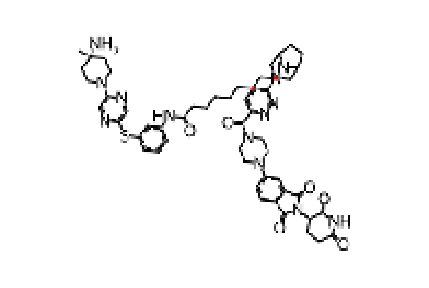 CC1(N)CCN(c2cnc(Sc3cccc(NC(=O)CCCCCCCCN4C5CCC4CN(c4ccc(C(=O)N6CCN(c7ccc8c(c7)C(=O)N(C7CCC(=O)NC7=O)C8=O)CC6)nn4)C5)c3)cn2)CC1